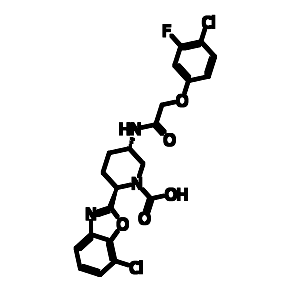 O=C(COc1ccc(Cl)c(F)c1)N[C@H]1CC[C@H](c2nc3cccc(Cl)c3o2)N(C(=O)O)C1